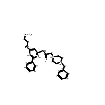 CC(=O)NCCNc1cc(NC(=O)CN2CCN(Cc3ccccc3)CC2)nc(-c2ccccc2)n1